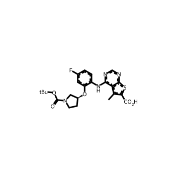 Cc1c(C(=O)O)sc2ncnc(Nc3ccc(F)cc3O[C@H]3CCN(C(=O)OC(C)(C)C)C3)c12